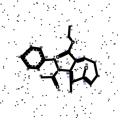 CCOC(=O)C1=C/CC/C=C(Cl)/C(C)=C\1N(Cc1ccccc1)C(C)=O